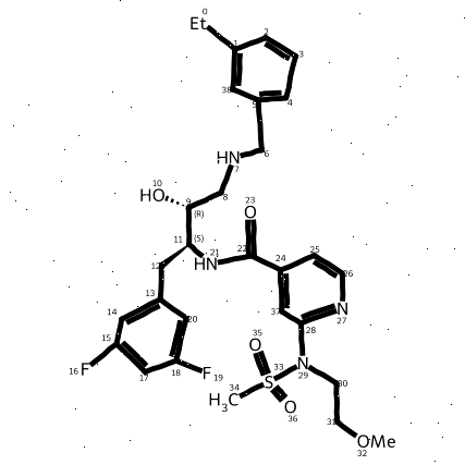 CCc1cccc(CNC[C@@H](O)[C@H](Cc2cc(F)cc(F)c2)NC(=O)c2ccnc(N(CCOC)S(C)(=O)=O)c2)c1